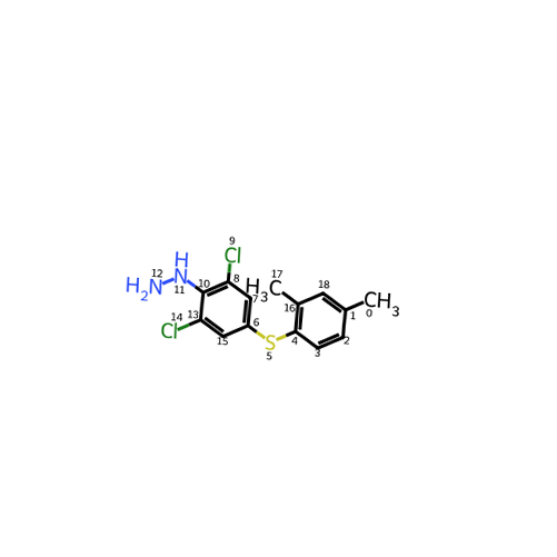 Cc1ccc(Sc2cc(Cl)c(NN)c(Cl)c2)c(C)c1